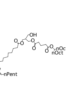 CCCCC/C=C\C/C=C\CCCCCCCC(=O)OCC(CO)COC(=O)CCCC(=O)OC(CCCCCCCC)CCCCCCCC